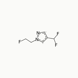 FCCn1[c]c(C(F)F)[c]n1